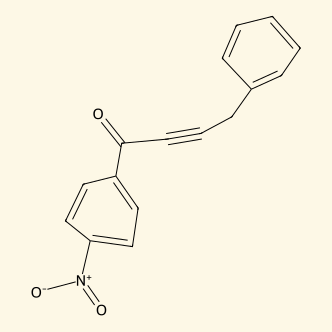 O=C(C#CCc1ccccc1)c1ccc([N+](=O)[O-])cc1